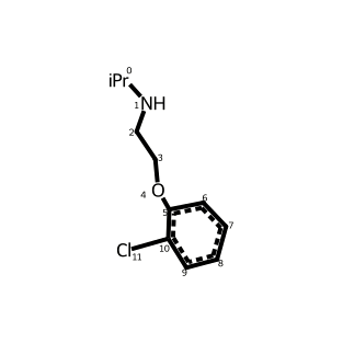 CC(C)NCCOc1ccccc1Cl